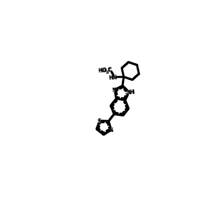 O=C(O)NC1(c2nc3cc(-c4nccs4)ccc3[nH]2)CCCCC1